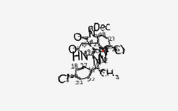 CCCCCCCCCCN1C(=O)[C@]2(CC(=O)Nc3c2nnn3C(C)c2ccc(Cl)cc2)c2cc(Cl)ccc21